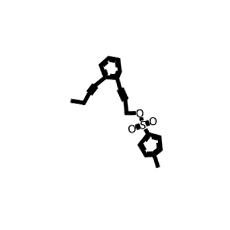 CCC#Cc1ccccc1C#CCOS(=O)(=O)c1ccc(C)cc1